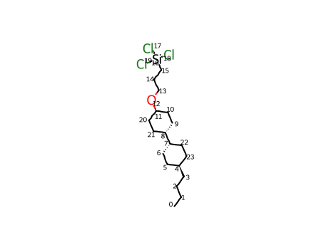 CCCC[C@H]1CC[C@H]([C@H]2CC[C@H](OCCC[Si](Cl)(Cl)Cl)CC2)CC1